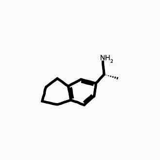 C[C@@H](N)c1ccc2c(c1)CCCC2